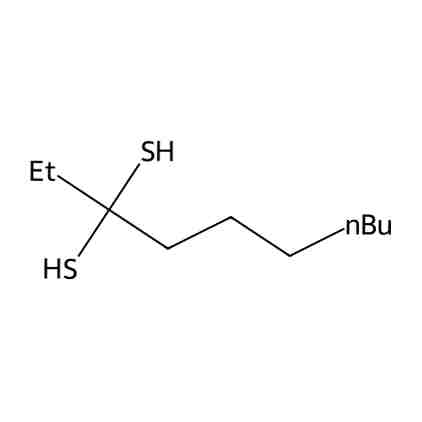 CCCCCCCC(S)(S)CC